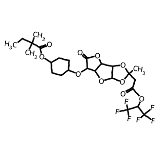 CCC(C)(C)C(=O)OC1CCC(OC2C(=O)OC3C4OC(C)(CC(=O)OC(C(F)(F)F)C(F)(F)F)OC4OC23)CC1